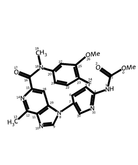 COC(=O)Nc1ccc(-n2cnc3c(C)nc(C(=O)N(C)c4ccc(F)c(OC)c4)cc32)cn1